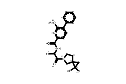 CCC(NC(=O)c1ccc(-c2ccccc2)c(OC)n1)C(=O)N1CCC2(C1)CC2(F)F